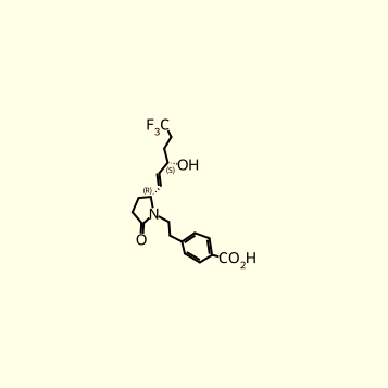 O=C(O)c1ccc(CCN2C(=O)CC[C@@H]2C=C[C@@H](O)CCC(F)(F)F)cc1